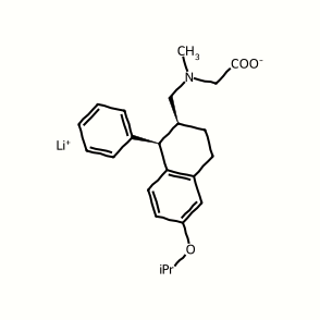 CC(C)Oc1ccc2c(c1)CC[C@H](CN(C)CC(=O)[O-])[C@@H]2c1ccccc1.[Li+]